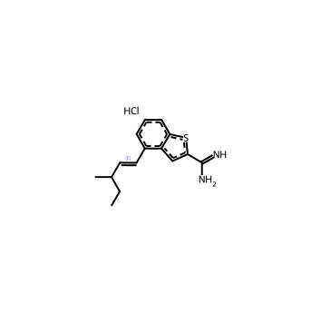 CCC(C)/C=C/c1cccc2sc(C(=N)N)cc12.Cl